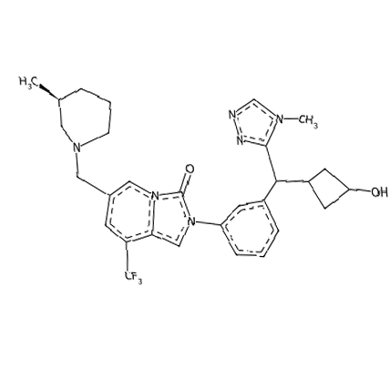 C[C@H]1CCCN(Cc2cc(C(F)(F)F)c3cn(-c4cccc(C(c5nncn5C)C5CC(O)C5)c4)c(=O)n3c2)C1